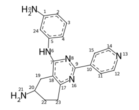 Nc1cccc(Nc2nc(-c3ccncc3)nc3c2CC(N)CC3)c1